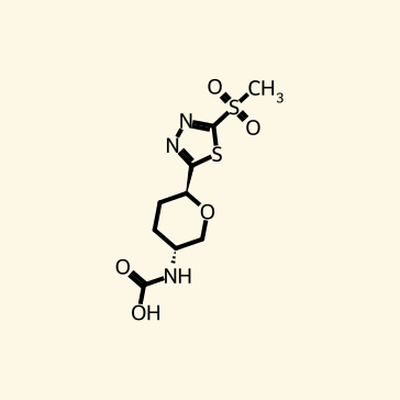 CS(=O)(=O)c1nnc([C@@H]2CC[C@@H](NC(=O)O)CO2)s1